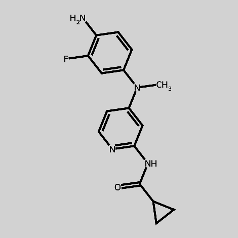 CN(c1ccnc(NC(=O)C2CC2)c1)c1ccc(N)c(F)c1